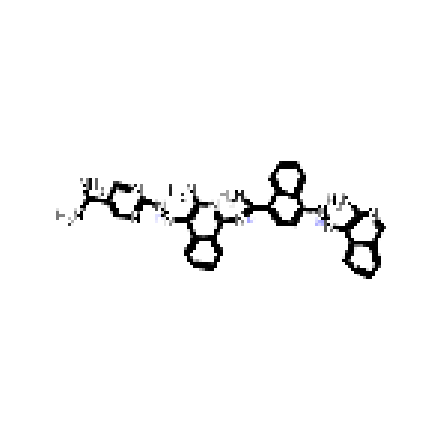 N/C(=N\c1nc(N)c(/N=N/c2ncc(C(N)N)cn2)c2ccccc12)c1ccc(/N=N/c2c(N)ncc3ccccc23)c2ccccc12